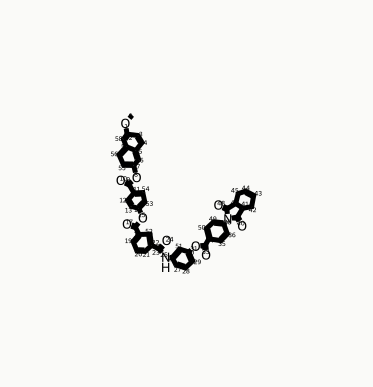 COc1ccc2cc(OC(=O)c3ccc(OC(=O)c4cccc(C(=O)Nc5cccc(OC(=O)c6ccc(N7C(=O)C8CC=CCC8C7=O)cc6)c5)c4)cc3)ccc2c1